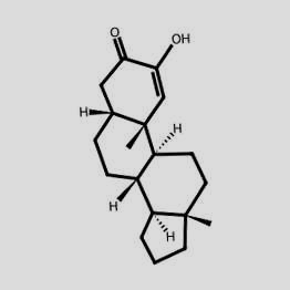 C[C@@]12CCC[C@H]1[C@@H]1CC[C@@H]3CC(=O)C(O)=C[C@]3(C)[C@H]1CC2